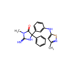 Cc1cc(Nc2cccc(C3(c4ccccc4)NC(=N)N(C)C3=O)c2)sn1